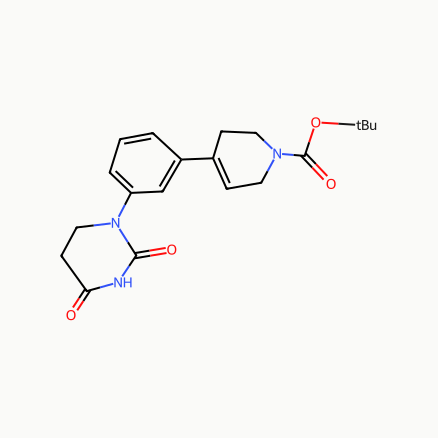 CC(C)(C)OC(=O)N1CC=C(c2cccc(N3CCC(=O)NC3=O)c2)CC1